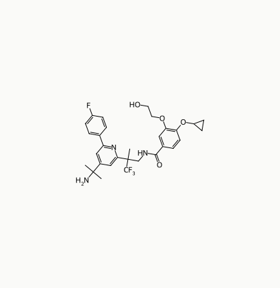 CC(C)(N)c1cc(-c2ccc(F)cc2)nc(C(C)(CNC(=O)c2ccc(OC3CC3)c(OCCO)c2)C(F)(F)F)c1